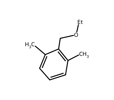 CCOCc1c(C)cccc1C